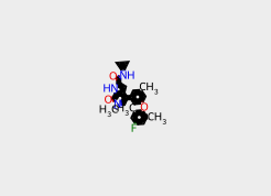 Cc1cc(Oc2c(C)cc(F)cc2C)cc(-c2cn(C)c(=O)c3[nH]c(C(=O)NC4CC4)cc23)c1